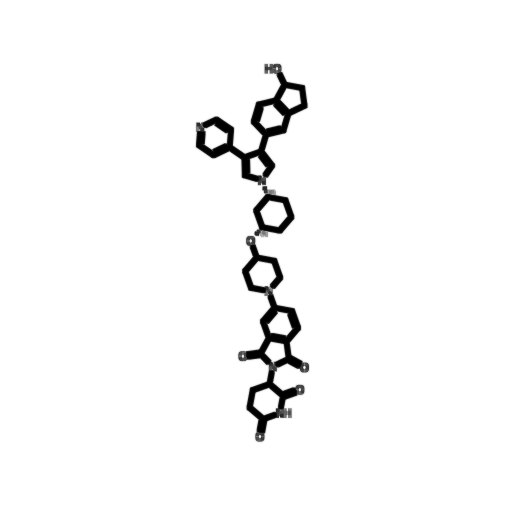 O=C1CCC(N2C(=O)c3ccc(N4CCC(O[C@H]5CCC[C@@H](n6cc(-c7ccncc7)c(-c7ccc8c(c7)CCC8O)c6)C5)CC4)cc3C2=O)C(=O)N1